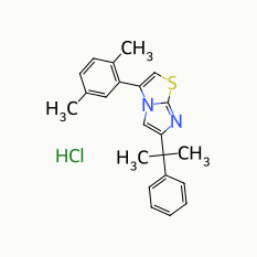 Cc1ccc(C)c(-c2csc3nc(C(C)(C)c4ccccc4)cn23)c1.Cl